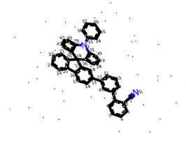 N#Cc1ccccc1-c1cccc(-c2ccc3c(c2)C2(c4ccccc4-3)c3ccccc3N(c3ccccc3)c3ccccc32)c1